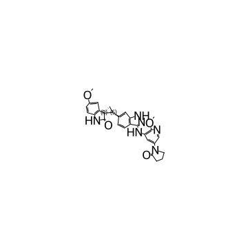 COc1ccc2c(c1)[C@]1(C[C@H]1c1ccc3c(Nc4cc(N5CCCC5=O)cnc4OC)n[nH]c3c1)C(=O)N2